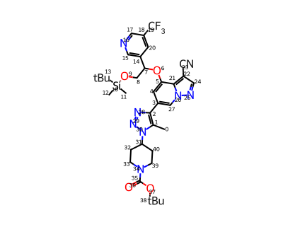 Cc1c(-c2cc(OC(CO[Si](C)(C)C(C)(C)C)c3cncc(C(F)(F)F)c3)c3c(C#N)cnn3c2)nnn1C1CCN(C(=O)OC(C)(C)C)CC1